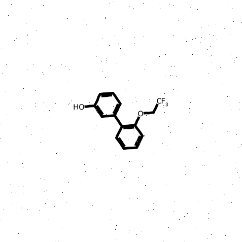 Oc1cccc(-c2ccc[c]c2OCC(F)(F)F)c1